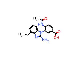 CCc1cccc2c1nc(N)n2-c1cc(C(=O)O)ccc1NC(C)=O